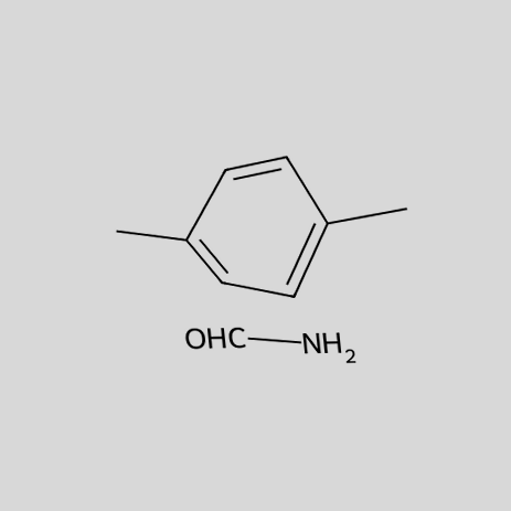 Cc1ccc(C)cc1.NC=O